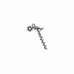 CCCCCCCCCCCCCCC(CCC)OCC(=O)c1ccccc1